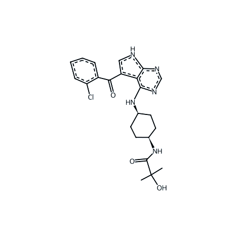 CC(C)(O)C(=O)N[C@H]1CC[C@@H](Nc2ncnc3[nH]cc(C(=O)c4ccccc4Cl)c23)CC1